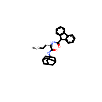 O=C(O)CC[C@H](NC(=O)C1c2ccccc2-c2ccccc21)C(=O)NC12CC3CC(CC(C3)C1)C2